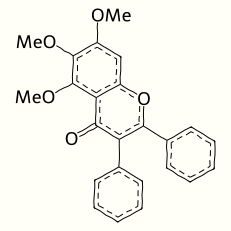 COc1cc2oc(-c3ccccc3)c(-c3ccccc3)c(=O)c2c(OC)c1OC